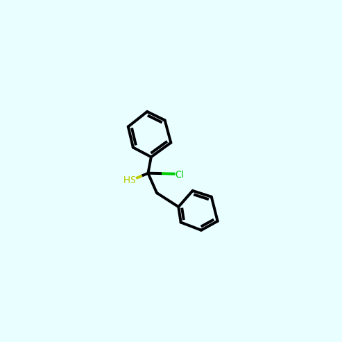 SC(Cl)(Cc1ccccc1)c1ccccc1